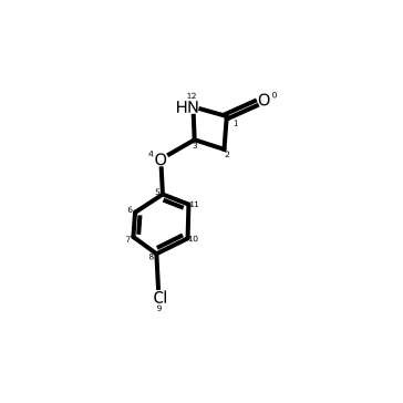 O=C1CC(Oc2ccc(Cl)cc2)N1